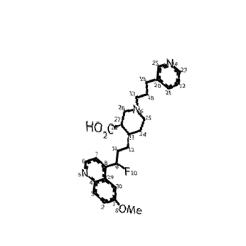 COc1ccc2nccc(C(F)CC[C@@H]3CCN(CCCc4cccnc4)C[C@@H]3C(=O)O)c2c1